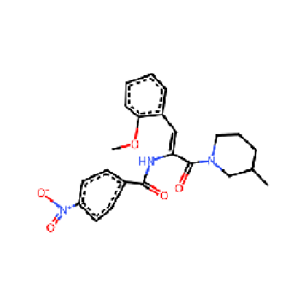 COc1ccccc1C=C(NC(=O)c1ccc([N+](=O)[O-])cc1)C(=O)N1CCCC(C)C1